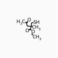 CCOC(=O)C(C)(CS)CC(C)=O